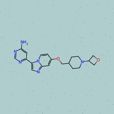 Nc1cc(-c2cnc3cc(OCC4CCN(C5COC5)CC4)ccn23)ncn1